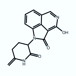 C=C1CCC(N2C(=O)c3c(O)ncc4cccc2c34)C(=O)N1